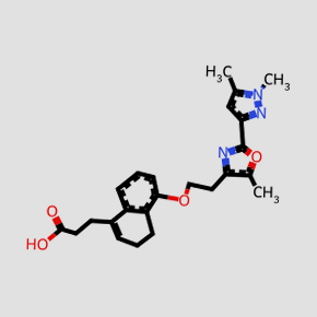 Cc1oc(-c2cc(C)n(C)n2)nc1CCOc1cccc2c1CCC=C2CCC(=O)O